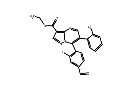 CCOC(=O)c1cnn2c(-c3ccc(C=O)cc3F)c(-c3ccccc3Cl)cnc12